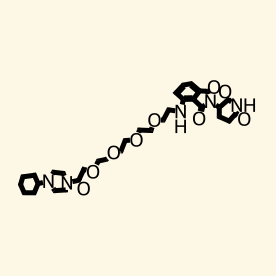 O=C1CCC(N2C(=O)c3cccc(NCCOCCOCCOCCOCC(=O)N4CCN(C5CCCCC5)CC4)c3C2=O)C(=O)N1